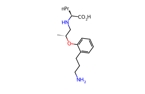 CCC[C@H](NC[C@@H](C)Oc1ccccc1CCCN)C(=O)O